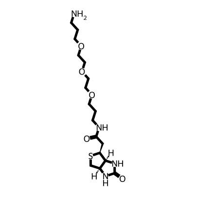 NCCCOCCOCCOCCCNC(=O)C[C@@H]1SC[C@@H]2NC(=O)N[C@@H]21